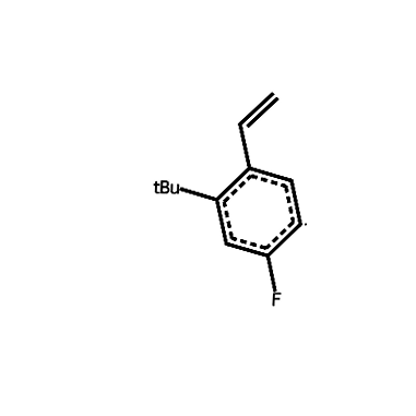 C=Cc1c[c]c(F)cc1C(C)(C)C